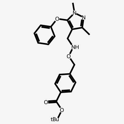 Cc1nn(C)c(Oc2ccccc2)c1CNOCc1ccc(C(=O)OC(C)(C)C)cc1